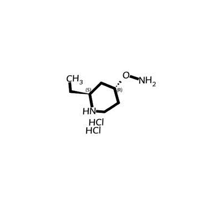 CC[C@H]1C[C@H](ON)CCN1.Cl.Cl